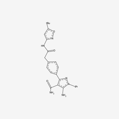 CC(C)n1nc(-c2ccc(CC(=O)Nc3cc(C(C)(C)C)on3)cc2)c(C(N)=O)c1N